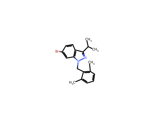 Cc1cccc(C)c1Cn1nc(C(C)C)c2ccc(Br)cc21